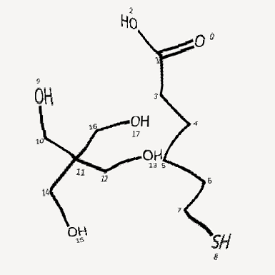 O=C(O)CCCCCS.OCC(CO)(CO)CO